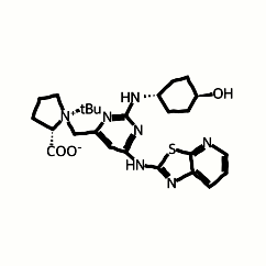 CC(C)(C)[N+]1(Cc2cc(Nc3nc4cccnc4s3)nc(N[C@H]3CC[C@H](O)CC3)n2)CCC[C@H]1C(=O)[O-]